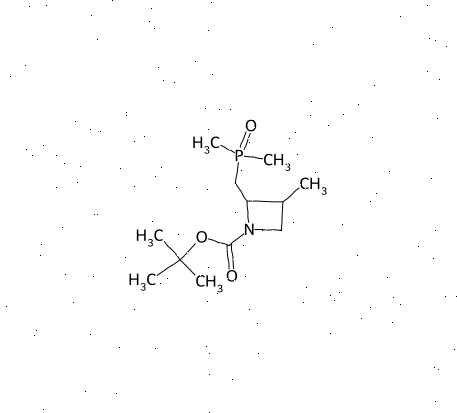 CC1CN(C(=O)OC(C)(C)C)C1CP(C)(C)=O